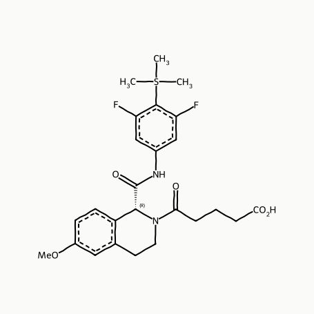 COc1ccc2c(c1)CCN(C(=O)CCCC(=O)O)[C@H]2C(=O)Nc1cc(F)c(S(C)(C)C)c(F)c1